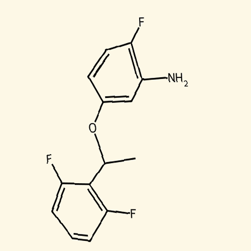 CC(Oc1ccc(F)c(N)c1)c1c(F)cccc1F